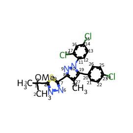 COC(C)(C)c1nnc(-c2nn(-c3ccc(Cl)cc3Cl)c(-c3ccc(Cl)cc3)c2C)s1